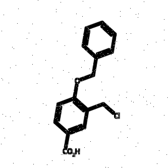 O=C(O)c1ccc(OCc2ccccc2)c(CCl)c1